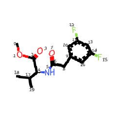 COC(=O)[C@@H](NC(=O)Cc1cc(F)cc(F)c1)C(C)C